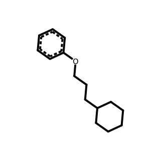 c1ccc(OCCCC2CCCCC2)cc1